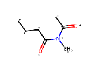 BN(C(C)=O)C(=O)CCC